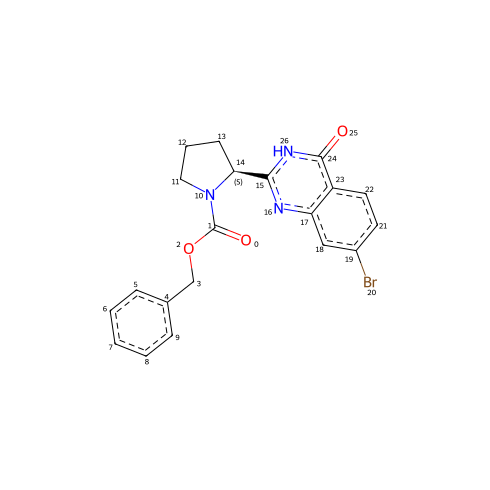 O=C(OCc1ccccc1)N1CCC[C@H]1c1nc2cc(Br)ccc2c(=O)[nH]1